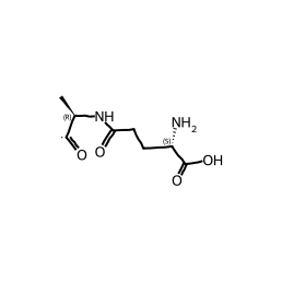 C[C@H]([C]=O)NC(=O)CC[C@H](N)C(=O)O